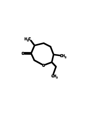 CCC1OCC(=O)C(C)CCC1C